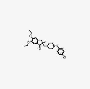 CCOc1cc2c(cc1OCC)C(=O)C(F)(CC1CCN(Cc3ccc(Cl)cc3)CC1)C2